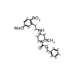 COc1ccc([N+](=O)[O-])c(CCNC2CCN(C(=O)OCc3ccccc3)C(C)C2)c1